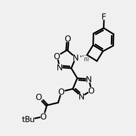 CC(C)(C)OC(=O)COc1nonc1-c1noc(=O)n1[C@H]1Cc2ccc(F)cc21